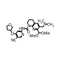 COC(OC)c1nc2c(cc1CN(C)C)CCCN2C(=O)Nc1cc(OC2CCOC2)c(C#N)cn1